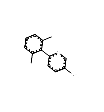 Cc1cccc(C)c1-c1ccc(N)cn1